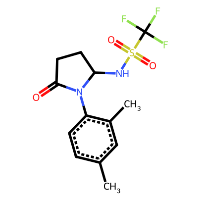 Cc1ccc(N2C(=O)CCC2NS(=O)(=O)C(F)(F)F)c(C)c1